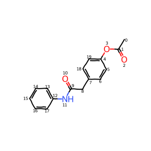 CC(=O)Oc1ccc(CC(=O)Nc2ccccc2)cc1